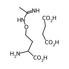 CC(=N)NOCCC(N)C(=O)O.O=C(O)CCC(=O)O